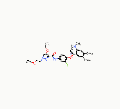 C=Nc1cc(OC)c(OC)cc1/C(=C\C)Oc1ccc(NC(=O)c2nn(CCOC3CC3)cc2OCC(F)(F)F)cc1F